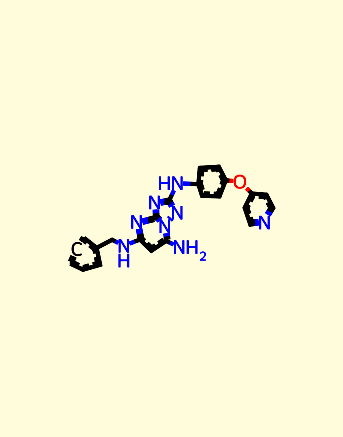 Nc1cc(NCc2ccccc2)nc2nc(Nc3ccc(Oc4ccncc4)cc3)nn12